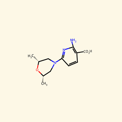 C[C@@H]1CN(c2ccc(C(=O)O)c(N)n2)C[C@H](C)O1